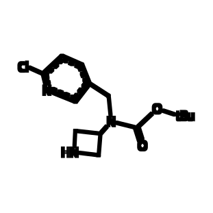 CC(C)(C)OC(=O)N(Cc1ccc(Cl)nc1)C1CNC1